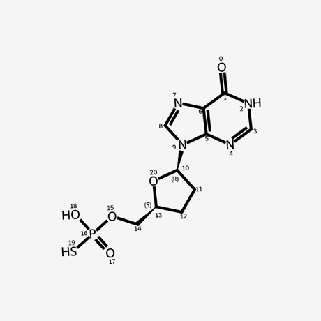 O=c1[nH]cnc2c1ncn2[C@H]1CC[C@@H](COP(=O)(O)S)O1